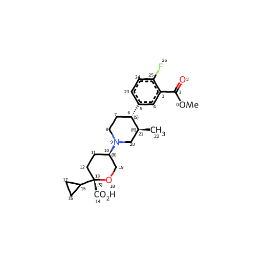 COC(=O)c1cc([C@H]2CCN([C@@H]3CC[C@@](C(=O)O)(C4CC4)OC3)C[C@@H]2C)ccc1F